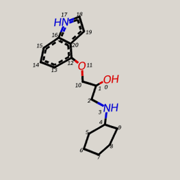 OC(CNC1CCCCC1)COc1cccc2[nH]ccc12